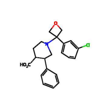 O=C(O)C1CCN(C2(c3cccc(Cl)c3)COC2)CC1c1ccccc1